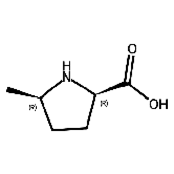 C[C@@H]1CC[C@H](C(=O)O)N1